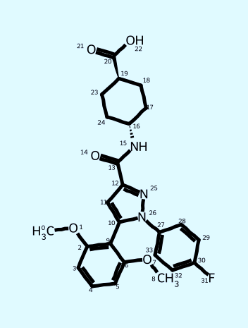 COc1cccc(OC)c1-c1cc(C(=O)N[C@H]2CC[C@H](C(=O)O)CC2)nn1-c1ccc(F)cc1